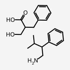 CC(C)C(CN)c1ccccc1.O=C(O)C(CO)Cc1ccccc1